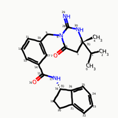 CC(C)[C@]1(C)CC(=O)N(Cc2cccc(C(=O)N[C@H]3CCc4ccccc43)c2)C(=N)N1